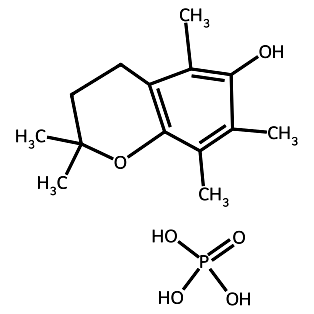 Cc1c(C)c2c(c(C)c1O)CCC(C)(C)O2.O=P(O)(O)O